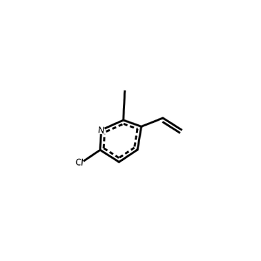 C=Cc1ccc(Cl)nc1C